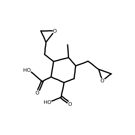 CC1C(CC2CO2)CC(C(=O)O)C(C(=O)O)C1CC1CO1